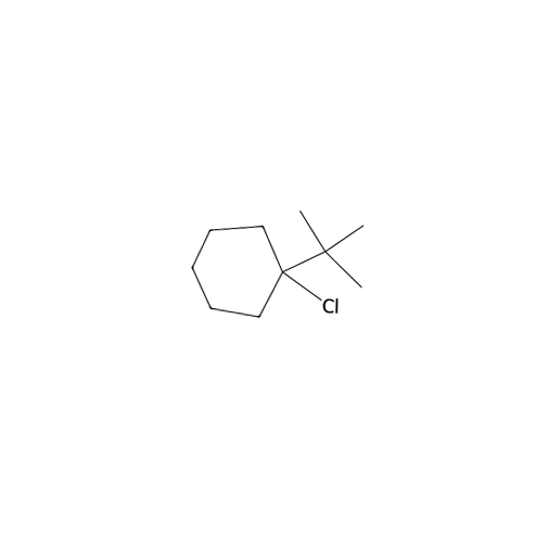 CC(C)(C)C1(Cl)CCCCC1